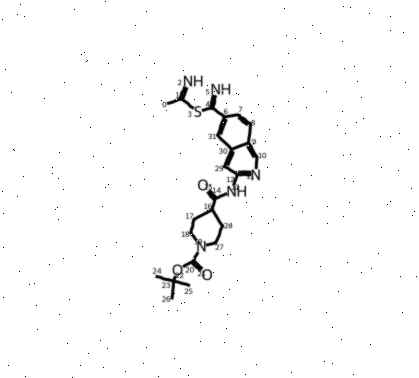 CC(=N)SC(=N)c1ccc2cnc(NC(=O)C3CCN(C(=O)OC(C)(C)C)CC3)cc2c1